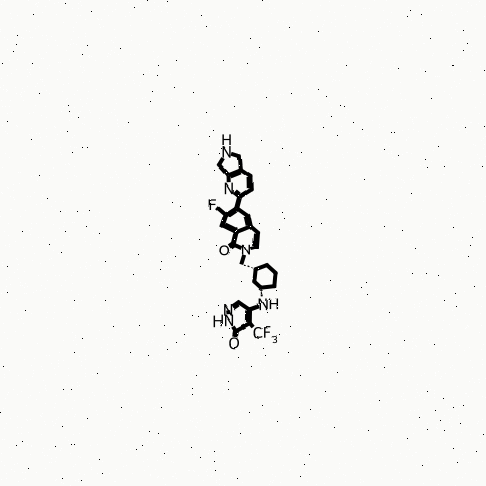 O=c1[nH]ncc(N[C@H]2CCC[C@@H](Cn3ccc4cc(-c5ccc6c(n5)CNC6)c(F)cc4c3=O)C2)c1C(F)(F)F